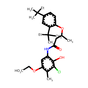 CCC(C)(C)c1ccc(OC(C)CC(=O)Nc2cc(OCC(=O)O)c(C)c(Cl)c2O)c(C(C)(C)CC)c1